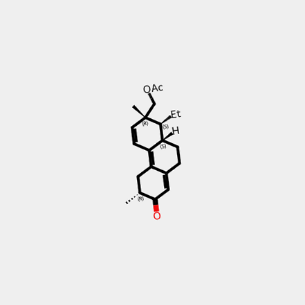 CC[C@H]1[C@@H]2CCC3=CC(=O)[C@H](C)CC3=C2C=C[C@]1(C)COC(C)=O